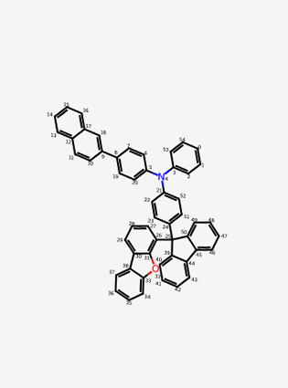 c1ccc(N(c2ccc(-c3ccc4ccccc4c3)cc2)c2ccc(C3(c4cccc5c4oc4ccccc45)c4ccccc4-c4ccccc43)cc2)cc1